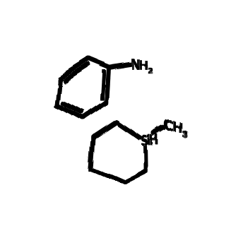 C[SiH]1CCCCC1.Nc1ccccc1